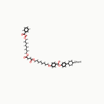 CCCCCC1CCC(c2ccc(OC(=O)c3ccc(OCCCCCCCCOC(=O)CCC(=O)OCCCCCCCCOOC(=O)c4ccccc4)cc3)cc2)CC1